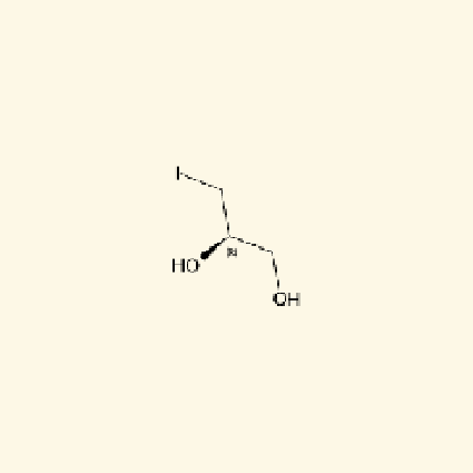 OC[C@@H](O)CI